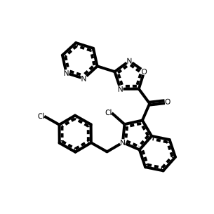 O=C(c1nc(-c2cccnn2)no1)c1c(Cl)n(Cc2ccc(Cl)cc2)c2ccccc12